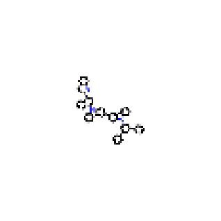 c1ccc(-c2cc(-c3ccccc3)cc(-n3c4ccccc4c4cc(-c5ccc6c(c5)c5ccccc5n6-c5ccc(-c6ccc7ccccc7n6)c6ccccc56)ccc43)c2)cc1